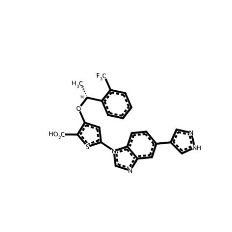 C[C@@H](Oc1cc(-n2cnc3cc(-c4cn[nH]c4)ccc32)sc1C(=O)O)c1ccccc1C(F)(F)F